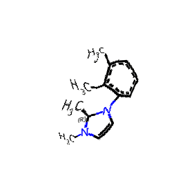 Cc1cccc(N2C=CN(C)[C@H]2C)c1C